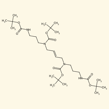 CC(C)(C)OC(=O)NCCCN(C/C=C/CN(CCCNC(=O)OC(C)(C)C)C(=O)OC(C)(C)C)C(=O)OC(C)(C)C